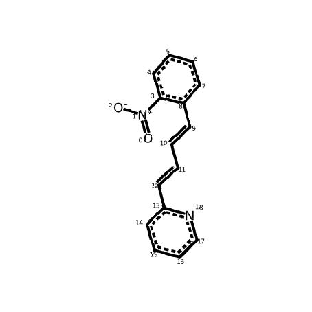 O=[N+]([O-])c1ccccc1C=CC=Cc1ccccn1